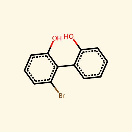 Oc1ccccc1-c1c(O)cccc1Br